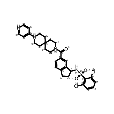 O=C(c1ccc2c(c1)C(NS(=O)(=O)c1c(Cl)cccc1Cl)CC2)N1CCC2(CC1)CCN(c1ccncc1)CC2